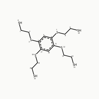 SCCSc1cc(SCCS)c(SCCS)cc1SCCS